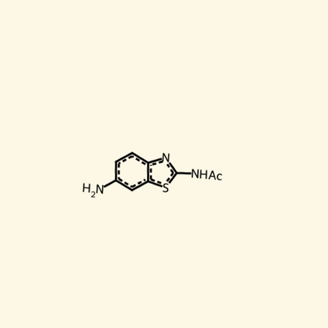 CC(=O)Nc1nc2ccc(N)cc2s1